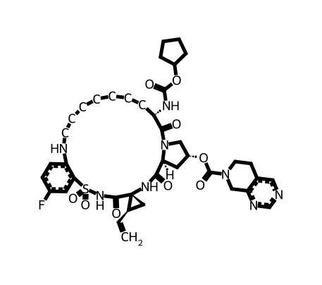 C=C[C@@H]1C[C@@]12NC(=O)[C@@H]1C[C@@H](OC(=O)N3CCc4cncnc4C3)CN1C(=O)[C@@H](NC(=O)OC1CCCC1)CCCCCCCNc1ccc(F)cc1S(=O)(=O)NC2=O